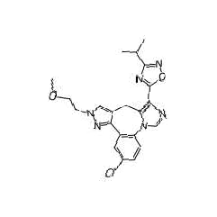 COCCn1cc2c(n1)-c1cc(Cl)ccc1-n1cnc(-c3nc(C(C)C)no3)c1C2